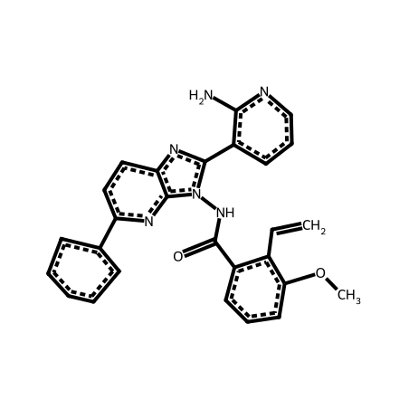 C=Cc1c(OC)cccc1C(=O)Nn1c(-c2cccnc2N)nc2ccc(-c3ccccc3)nc21